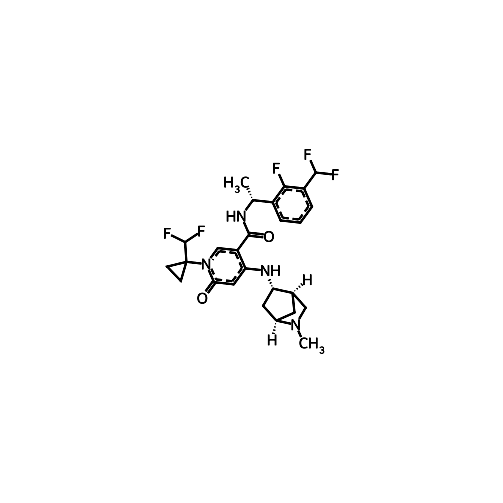 C[C@@H](NC(=O)c1cn(C2(C(F)F)CC2)c(=O)cc1N[C@H]1C[C@H]2C[C@@H]1CN2C)c1cccc(C(F)F)c1F